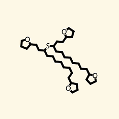 C(CCCCC(CCC1CCCO1)SC(CCCCCCCCC1CCCO1)CCC1CCCO1)CCCC1CCCO1